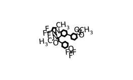 Cc1nc(-c2cc(-c3cccc(S(C)(=O)=O)c3)ccc2-n2nc(C(F)(F)F)cc2C)c(-c2ccc(OC(F)(F)F)cc2)o1